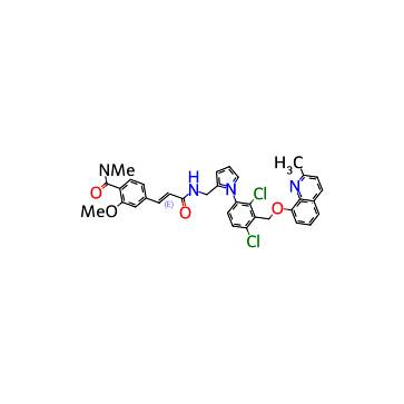 CNC(=O)c1ccc(/C=C/C(=O)NCc2cccn2-c2ccc(Cl)c(COc3cccc4ccc(C)nc34)c2Cl)cc1OC